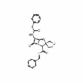 O=C(Cc1ccccc1)NC1C(=O)N2C1SC(CCl)(CI)C2C(=O)OCc1ccccc1